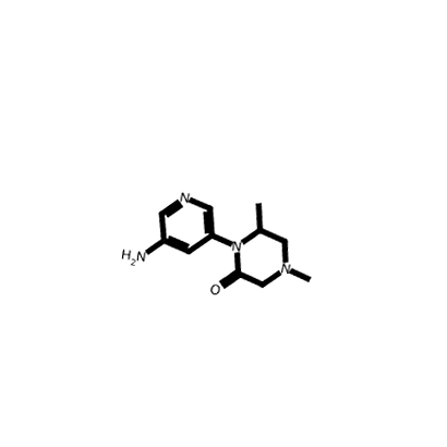 CC1CN(C)CC(=O)N1c1cncc(N)c1